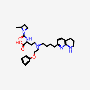 CC1CCN1C(=O)NC(CCN(CCCCc1ccc2c(n1)NCCC2)CCOc1ccccc1)C(=O)O